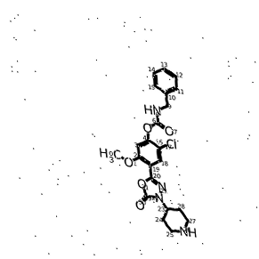 COc1cc(OC(=O)NCc2ccccc2)c(Cl)cc1-c1nn(C2CCNCC2)c(=O)o1